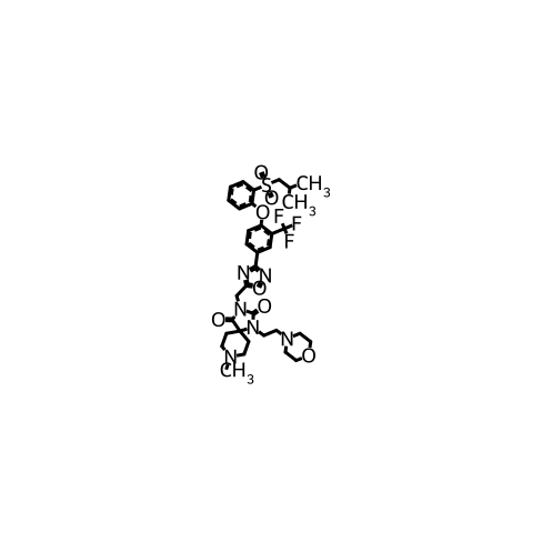 CC(C)CS(=O)(=O)c1ccccc1Oc1ccc(-c2noc(CN3C(=O)N(CCN4CCOCC4)C4(CCN(C)CC4)C3=O)n2)cc1C(F)(F)F